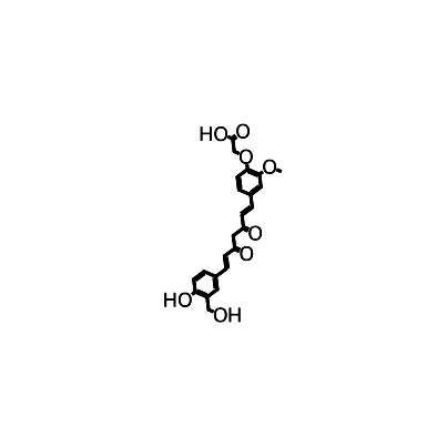 COc1cc(/C=C/C(=O)CC(=O)/C=C/c2ccc(O)c(CO)c2)ccc1OCC(=O)O